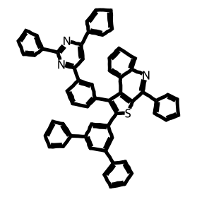 c1ccc(-c2cc(-c3ccccc3)cc(-c3sc4c(-c5ccccc5)nc5ccccc5c4c3-c3cccc(-c4cc(-c5ccccc5)nc(-c5ccccc5)n4)c3)c2)cc1